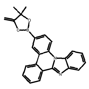 C=C1OB(c2ccc3c(c2)c2ccccc2c2nc4ccccc4n32)OC1(C)C